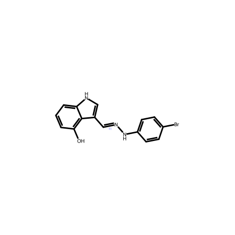 Oc1cccc2[nH]cc(/C=N/Nc3ccc(Br)cc3)c12